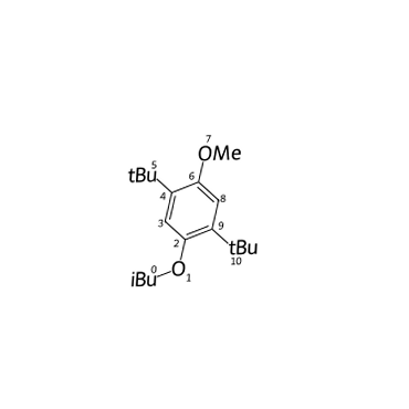 CCC(C)Oc1cc(C(C)(C)C)c(OC)cc1C(C)(C)C